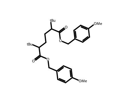 COc1ccc(COC(=O)C(CCC(C(=O)OCc2ccc(OC)cc2)C(C)(C)C)C(C)(C)C)cc1